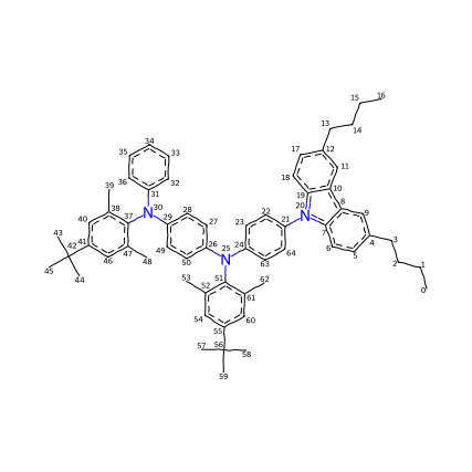 CCCCc1ccc2c(c1)c1cc(CCCC)ccc1n2-c1ccc(N(c2ccc(N(c3ccccc3)c3c(C)cc(C(C)(C)C)cc3C)cc2)c2c(C)cc(C(C)(C)C)cc2C)cc1